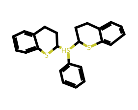 [c]1ccc([SH](C2CCc3ccccc3S2)C2CCc3ccccc3S2)cc1